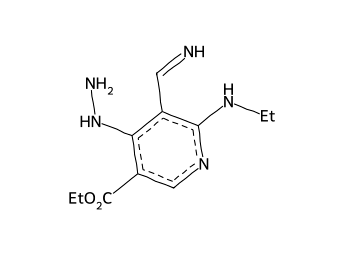 CCNc1ncc(C(=O)OCC)c(NN)c1C=N